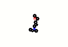 CC1(C)c2cc(-n3c4c(c5ccccc53)Cc3ccccc3-4)ccc2C2=CC=C(c3cccc4c3oc3ccccc34)CC21